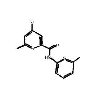 Cc1cccc(NC(=O)c2cc(Cl)cc(C)n2)n1